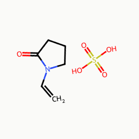 C=CN1CCCC1=O.O=S(=O)(O)O